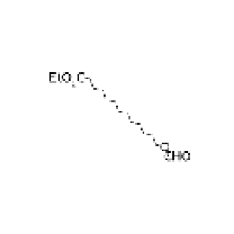 [CH2]COC(=O)CCCCCCCCCCCCO[C]=O